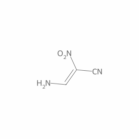 N#CC(=CN)[N+](=O)[O-]